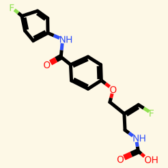 O=C(O)NCC(=CF)COc1ccc(C(=O)Nc2ccc(F)cc2)cc1